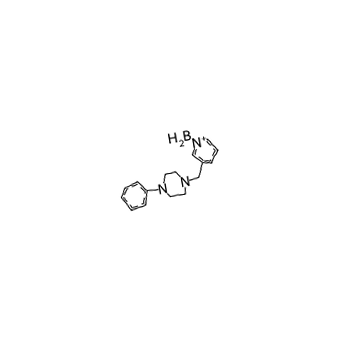 B[n+]1cccc(CN2CCN(c3ccccc3)CC2)c1